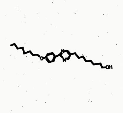 CCCCCCCCOc1ccc(-c2ncc(CCCCCCCCO)cn2)cc1